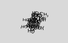 CCCC1OC(CO)C(COCC2OC(CO)C(COCC3OC(CO)C(COCC4OC(CO)C(COCC5OC(CO)C(COCC6OC(CO)C(COCC7OC(CO)C(CCC)C(O)C7O)C(O)C6O)C(O)C5O)C(O)C4O)C(O)C3O)C(O)C2O)C(O)C1O